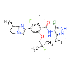 Cc1n[nH]c(Cl)c1NC(=O)c1cc(F)c(-c2cn3c(n2)C(C)CC3)cc1OCC(C)(C)F